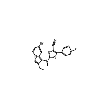 CCc1nn2ccc(Br)cc2c1N(C)c1nc(-c2ccc(F)cc2)c(C#N)s1